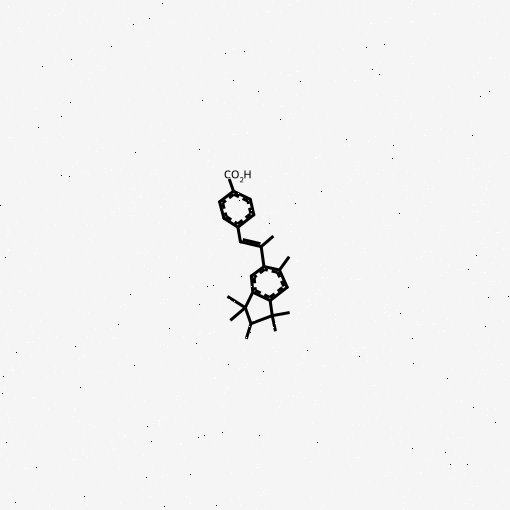 CC(=Cc1ccc(C(=O)O)cc1)c1cc2c(cc1C)C(C)(C)C(C)C2(C)C